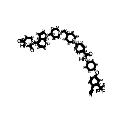 N#Cc1ccc(OC2CCC(NC(=O)c3ccc(N4CCC(CN5CCC(n6ccc7c(N8CCC(=O)NC8=O)ccnc76)CC5)CC4)nn3)CC2)cc1C(F)(F)F